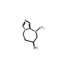 CN1CC(N)CCn2cncc21